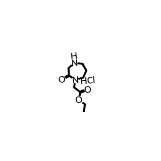 CCOC(=O)CN1CCCNCC1=O.Cl